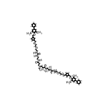 CCN(CCC(=O)NCCNC(=S)NCCOCCOCC1=CCC(COc2c(C)cc(-c3ccccc3)cc2C)=C1)CCC(=O)NCCNC(=S)NCCOCCOCC1=CCC(COc2c(C)cc(-c3ccccc3)cc2C)=C1